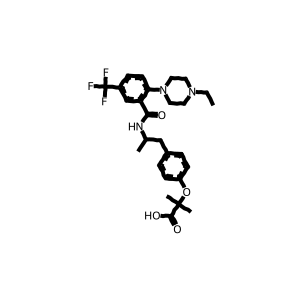 CCN1CCN(c2ccc(C(F)(F)F)cc2C(=O)NC(C)Cc2ccc(OC(C)(C)C(=O)O)cc2)CC1